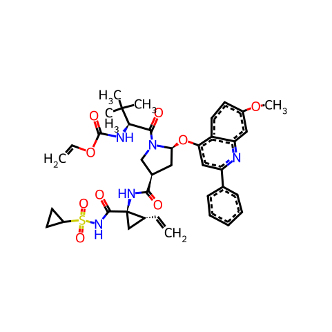 C=COC(=O)N[C@H](C(=O)N1C[C@H](C(=O)N[C@]2(C(=O)NS(=O)(=O)C3CC3)C[C@H]2C=C)C[C@@H]1Oc1cc(-c2ccccc2)nc2cc(OC)ccc12)C(C)(C)C